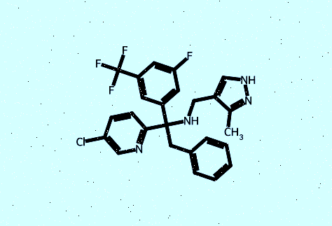 Cc1n[nH]cc1CNC(Cc1ccccc1)(c1cc(F)cc(C(F)(F)F)c1)c1ccc(Cl)cn1